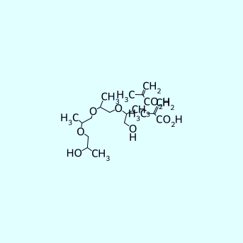 C=C(C)C(=O)O.C=C(C)C(=O)O.CC(O)COC(C)COC(C)COC(C)CO